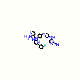 N#Cc1nccc(NC2CCN(Cc3ccc(-n4c(-c5cccnc5N)nc5ccc(-c6cccc(F)c6)nc54)cc3)CC2)n1